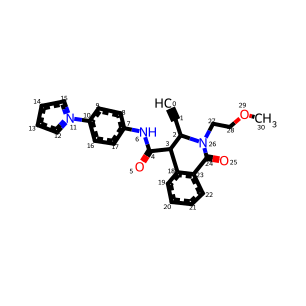 C#CC1C(C(=O)Nc2ccc(-n3cccc3)cc2)c2ccccc2C(=O)N1CCOC